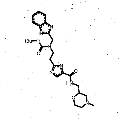 CN1CCOC(CNC(=O)c2csc(CCN(Cc3nc4ccccc4[nH]3)C(=O)OC(C)(C)C)n2)C1